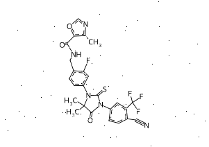 Cc1ncoc1C(=O)NCc1ccc(N2C(=S)N(c3ccc(C#N)c(C(F)(F)F)c3)C(=O)C2(C)C)cc1F